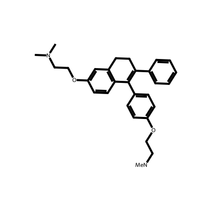 CNCCOc1ccc(C2=C(c3ccccc3)CCc3cc(OCCN(C)C)ccc32)cc1